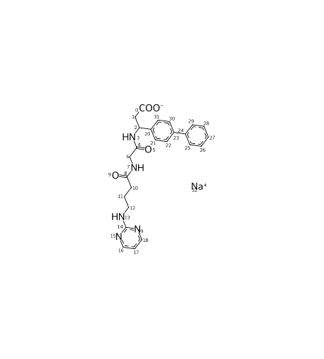 O=C([O-])CC(NC(=O)CNC(=O)CCCNc1ncccn1)c1ccc(-c2ccccc2)cc1.[Na+]